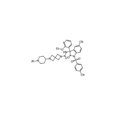 CCOc1ncccc1C1(NC(=O)N2CC3(C2)CN(C2CCN(C(C)C)CC2)C3)C(=O)N(S(=O)(=O)c2ccc(C#N)cc2)c2ccc(C#N)cc21